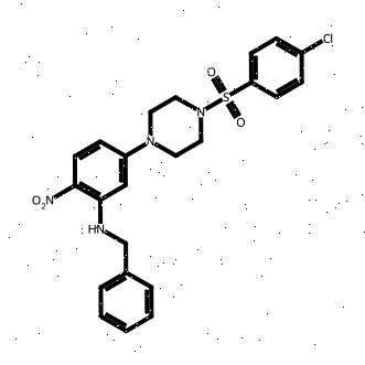 O=[N+]([O-])c1ccc(N2CCN(S(=O)(=O)c3ccc(Cl)cc3)CC2)cc1NCc1ccccc1